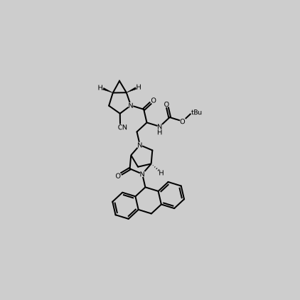 CC(C)(C)OC(=O)NC(CN1C[C@@H]2CC1C(=O)N2C1c2ccccc2Cc2ccccc21)C(=O)N1C(C#N)C[C@@H]2C[C@@H]21